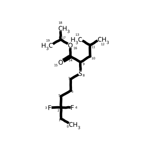 CCC(F)(F)CCCSC(CC(C)C)C(=O)OC(C)C